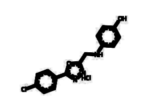 Cl.Oc1ccc(NCc2nnc(-c3ccc(Cl)cc3)o2)cc1